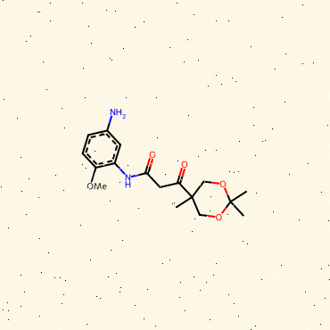 COc1ccc(N)cc1NC(=O)CC(=O)C1(C)COC(C)(C)OC1